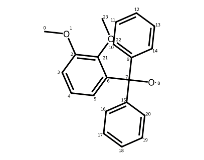 COc1cccc(C([O])(c2ccccc2)c2ccccc2)c1OC